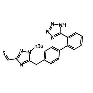 CCCCn1nc(C=S)nc1Cc1ccc(-c2ccccc2-c2nnn[nH]2)cc1